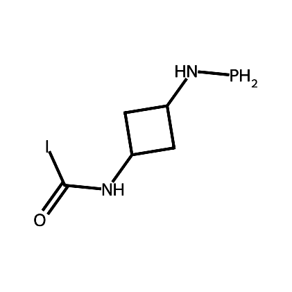 O=C(I)NC1CC(NP)C1